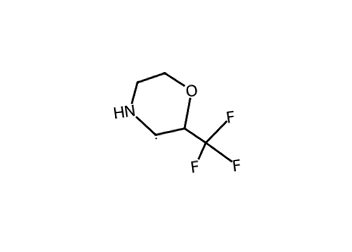 FC(F)(F)C1[CH]NCCO1